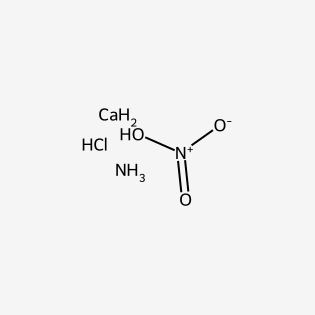 Cl.N.O=[N+]([O-])O.[CaH2]